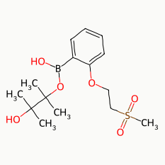 CC(C)(O)C(C)(C)OB(O)c1ccccc1OCCS(C)(=O)=O